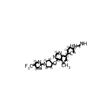 Cn1cc(-c2ccc(NC=N)cc2)c2ncnc(OC3CCN(c4ncc(C(F)(F)F)cn4)CC3)c21